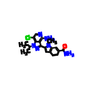 CC(C)n1nc(-c2cc3ccc(C(N)=O)cc3n2C)c2c(N)ncc(Cl)c21